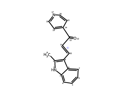 Cc1[nH]c2ccccc2c1/C=C/C(=O)c1ccncc1